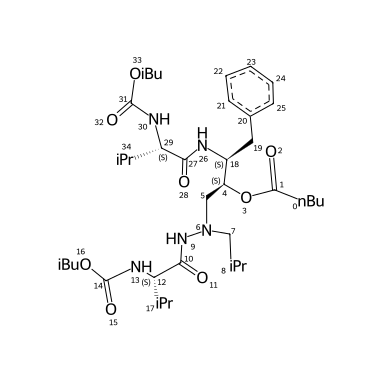 CCCCC(=O)O[C@@H](CN(CC(C)C)NC(=O)[C@@H](NC(=O)OCC(C)C)C(C)C)[C@H](Cc1ccccc1)NC(=O)[C@@H](NC(=O)OCC(C)C)C(C)C